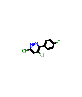 Fc1ccc(-c2nnc(Cl)cc2Cl)cc1